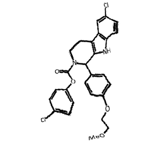 COCCOc1ccc(C2c3[nH]c4ccc(Cl)cc4c3CCN2C(=O)Oc2ccc(Cl)cc2)cc1